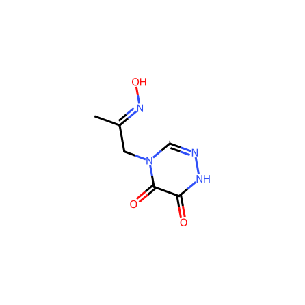 CC(Cn1[c]n[nH]c(=O)c1=O)=NO